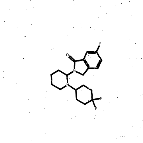 O=C1c2cc(F)ccc2CN1C1CCCCN1C1CCC(F)(F)CC1